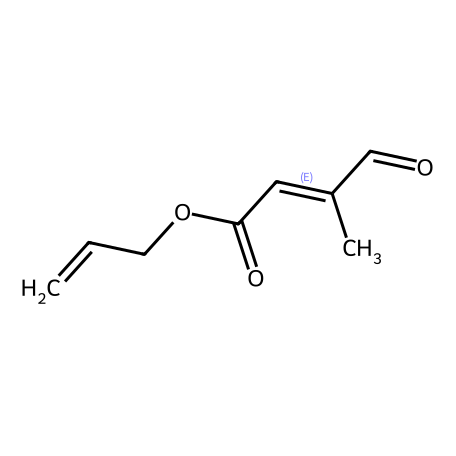 C=CCOC(=O)/C=C(\C)C=O